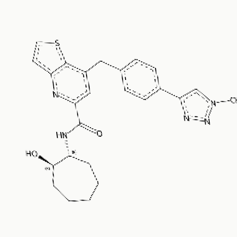 Cn1cc(-c2ccc(Cc3cc(C(=O)N[C@@H]4CCCCC[C@H]4O)nc4ccsc34)cc2)nn1